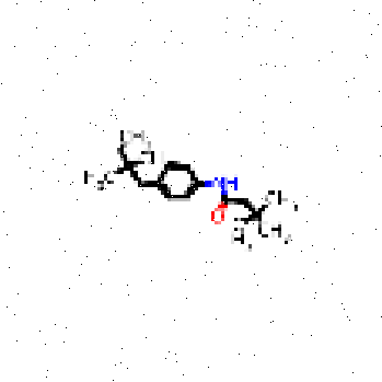 CCC(C)(C)Cc1ccc(NC(=O)CC(C)(C)C)cc1